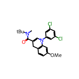 COc1ccc2c(c1)N(c1cc(Cl)cc(Cl)c1)C=C(C(=O)N(C)C(C)(C)C)C2